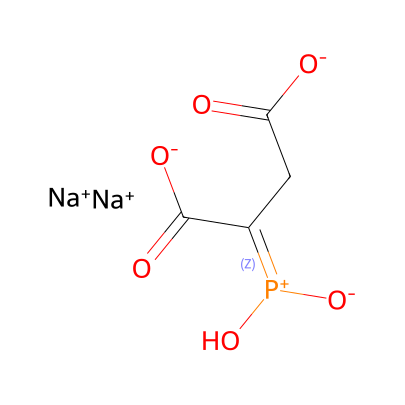 O=C([O-])C/C(C(=O)[O-])=[P+](\[O-])O.[Na+].[Na+]